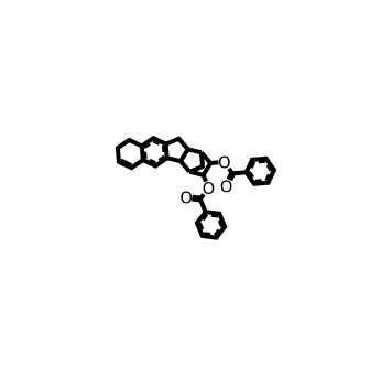 O=C(OC1C2CC(C1OC(=O)c1ccccc1)C1c3cc4c(cc3CC21)CCC=C4)c1ccccc1